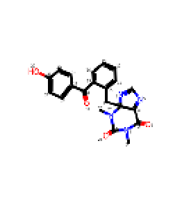 CN1C(=O)C2=NC=NC2(Cc2ccccc2C(=O)c2ccc(O)cc2)N(C)C1=O